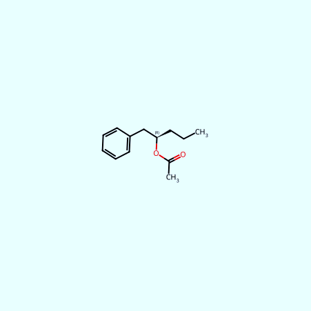 CCC[C@H](Cc1ccccc1)OC(C)=O